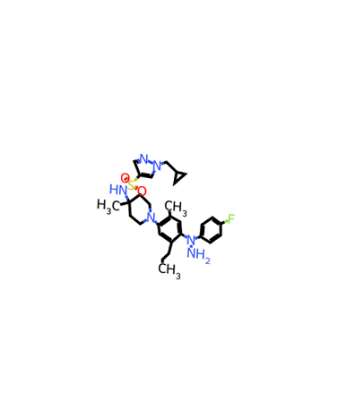 CCCc1cc(N2CCC(C)(NS(=O)(=O)c3cnn(CC4CC4)c3)CC2)c(C)cc1N(N)c1ccc(F)cc1